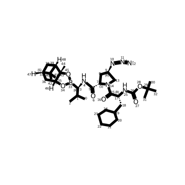 CC(C)[C@H](NC(=O)[C@@H]1C[C@@H](N=[N+]=[N-])CN1C(=O)[C@@H](CC1CCCCC1)NC(=O)OC(C)(C)C)B1O[C@@H]2C[C@@H]3C[C@@H](C3(C)C)[C@]2(C)O1